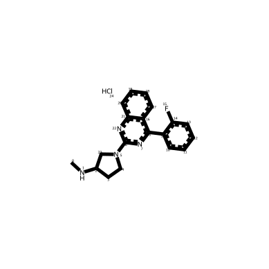 CNC1CCN(c2nc(-c3ccccc3F)c3ccccc3n2)C1.Cl